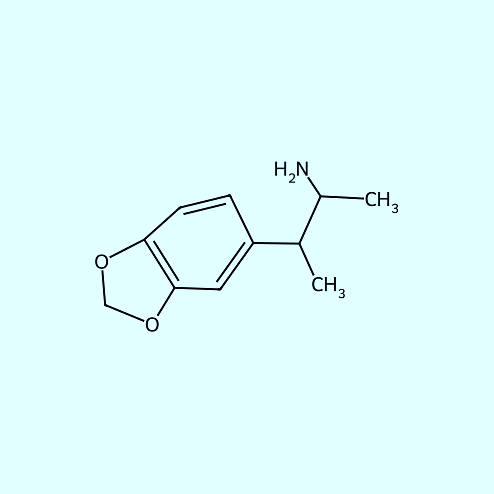 CC(N)C(C)c1ccc2c(c1)OCO2